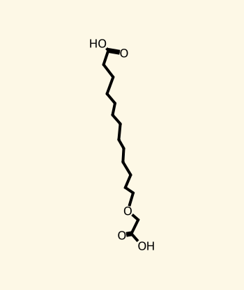 O=C(O)CCCCCCCCCCCCOCC(=O)O